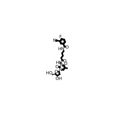 Cc1cn([C@H]2C[C@H](O)[C@@H](CO)O2)c(=O)n(NC(=O)CCCCNC(=O)c2ccc(F)c(C#N)c2)c1=O